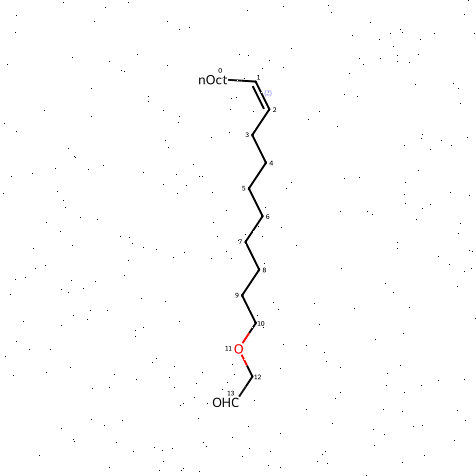 CCCCCCCC/C=C\CCCCCCCCOCC=O